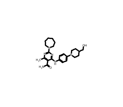 Cc1nc(N2CCCCCC2)nc(Nc2ccc(N3CCC(CO)CC3)cc2)c1C(N)=O